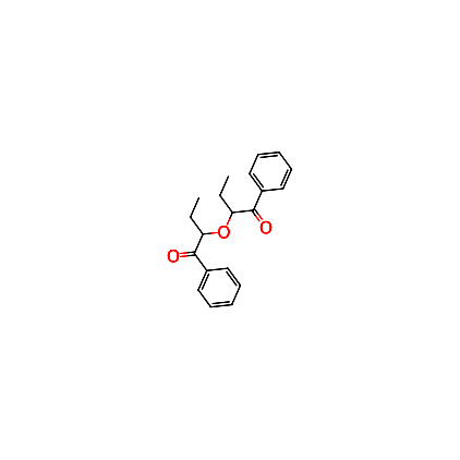 CCC(OC(CC)C(=O)c1ccccc1)C(=O)c1ccccc1